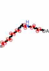 CC(=O)OCCOC(=O)CCC(=O)OCCNC(=O)OC(C)(C)C/C=C/C(=O)OCCOC(=O)CCC(=O)OCCOC(=O)OC(C)(C)C